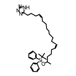 CC(CCC/C=C\CCCCCCC/C=C\CCCc1nnn[nH]1)O[Si](c1ccccc1)(c1ccccc1)C(C)(C)C